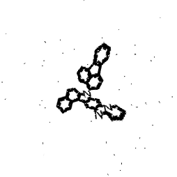 c1ccc2c(c1)-c1cccc3c(-n4c5cc6c(cc5c5c7ccccc7ccc54)nc4ccccn46)ccc-2c13